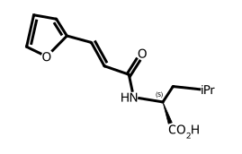 CC(C)C[C@H](NC(=O)C=Cc1ccco1)C(=O)O